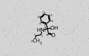 CCCNC(O)([C]=O)c1ccccc1